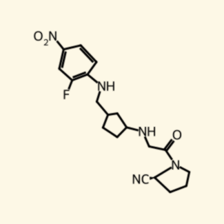 N#C[C@@H]1CCCN1C(=O)CNC1CCC(CNc2ccc([N+](=O)[O-])cc2F)C1